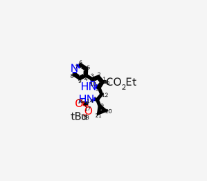 CCOC(=O)c1cc(-c2ccncc2)[nH]c1CC(NC(=O)OC(C)(C)C)C1CC1